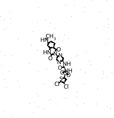 CNc1ccc2c(=O)n(-c3cnc(NC(=O)NS(=O)(=O)c4cc(Cl)c(Cl)s4)cn3)c(=O)[nH]c2c1